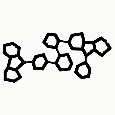 c1ccc(-n2c3ccccc3c3ccc(-c4ccccc4-c4ccccc4-c4ccc(-n5c6ccccc6c6ccccc65)cc4)cc32)cc1